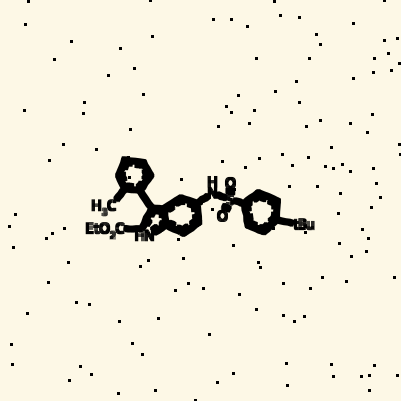 CCOC(=O)c1[nH]c2ccc(NS(=O)(=O)c3ccc(C(C)(C)C)cc3)cc2c1-c1ccccc1C